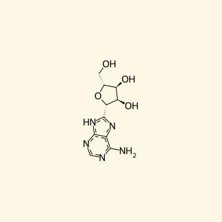 Nc1ncnc2[nH]c([C@@H]3O[C@H](CO)[C@@H](O)[C@H]3O)nc12